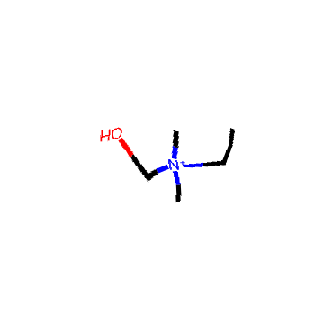 CC[N+](C)(C)CO